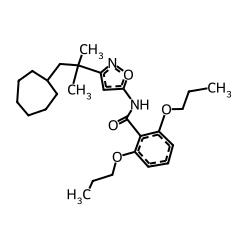 CCCOc1cccc(OCCC)c1C(=O)Nc1cc(C(C)(C)CC2CCCCCC2)no1